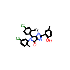 Cc1ccc(O)c(-c2nc3c(n2C(C)C)C(c2ccc(Cl)cc2C)N(c2cc(Cl)ccc2C)C3=O)c1